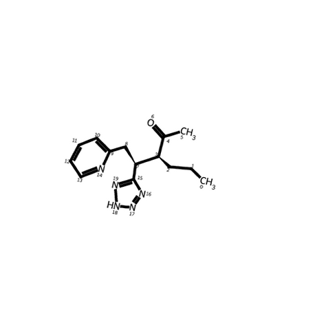 CCC[C@H](C(C)=O)[C@H](Cc1ccccn1)c1nn[nH]n1